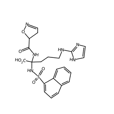 O=C(NC(CCCNc1ncc[nH]1)(NS(=O)(=O)c1cccc2ccccc12)C(=O)O)C1CC=NO1